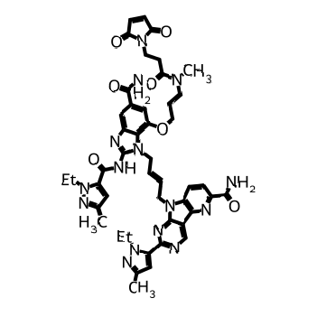 CCn1nc(C)cc1C(=O)Nc1nc2cc(C(N)=O)cc(OCCCN(C)C(=O)CCN3C(=O)C=CC3=O)c2n1C/C=C/Cn1c2ccc(C(N)=O)nc2c2cnc(-c3cc(C)nn3CC)nc21